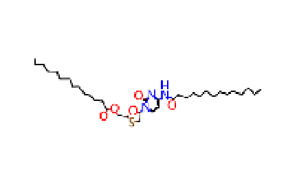 CCCCCCCCCCCCCC(=O)Nc1ccn([C@H]2CS[C@@H](COC(=O)CCCCCCCCCCCCC)O2)c(=O)n1